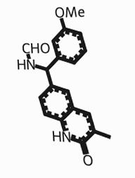 COc1cccc(C(NC=O)c2ccc3[nH]c(=O)c(C)cc3c2)c1